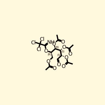 CC(=O)OC[C@@H](OC(=N)C(Cl)(Cl)Cl)[C@@H](OC(C)=O)[C@H](OC(C)=O)[C@@H](C=O)OC(C)=O